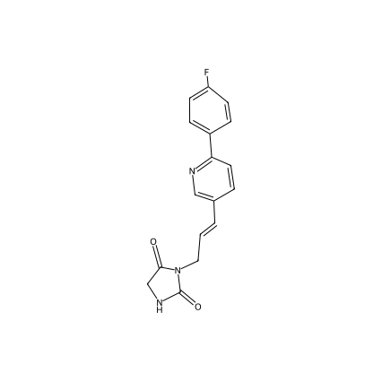 O=C1CNC(=O)N1CC=Cc1ccc(-c2ccc(F)cc2)nc1